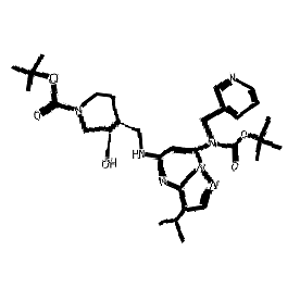 CC(C)c1cnn2c(N(Cc3cccnc3)C(=O)OC(C)(C)C)cc(NC[C@@H]3CCN(C(=O)OC(C)(C)C)C[C@@H]3O)nc12